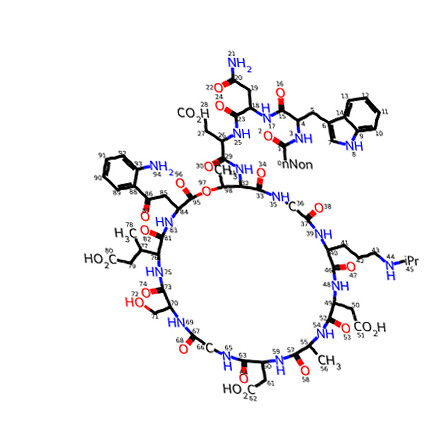 CCCCCCCCCC(=O)NC(Cc1c[nH]c2ccccc12)C(=O)NC(CC(N)=O)C(=O)NC(CC(=O)O)C(=O)NC1C(=O)NCC(=O)NC(CCCNC(C)C)C(=O)NC(CC(=O)O)C(=O)NC(C)C(=O)NC(CC(=O)O)C(=O)NCC(=O)NC(CO)C(=O)NC(C(C)CC(=O)O)C(=O)NC(CC(=O)c2ccccc2N)C(=O)OC1C